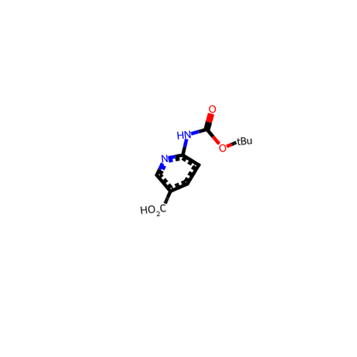 CC(C)(C)OC(=O)Nc1ccc(C(=O)O)cn1